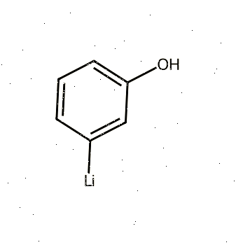 [Li][c]1cccc(O)c1